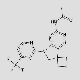 CC(=O)Nc1cc2c(cn1)C1(CCC1)CN2c1nccc(C(C)(F)F)n1